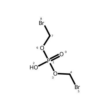 O=P(O)(OCBr)OCBr